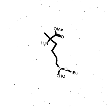 COC(=O)C(C)(N)CCCCN(C=O)OC(C)(C)C